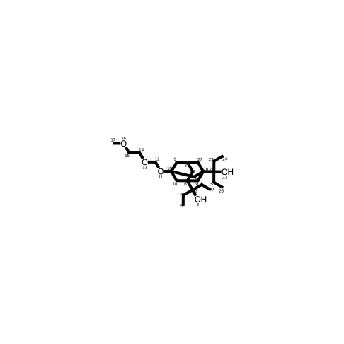 CCC(O)(CC)C12CC3CC(OCOCCOC)(C1)CC(C(O)(CC)CC)(C3)C2